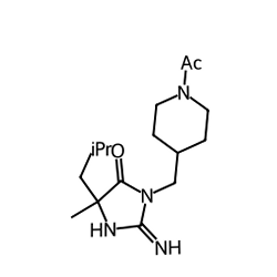 CC(=O)N1CCC(CN2C(=N)NC(C)(CC(C)C)C2=O)CC1